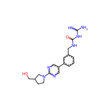 N=C(N)NC(=O)NCc1cccc(-c2cnc(N3CCC(CO)C3)nc2)c1